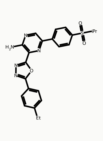 CCc1ccc(-c2nnc(-c3nc(-c4ccc(S(=O)(=O)C(C)C)cc4)cnc3N)o2)cc1